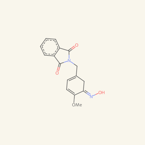 COC1=CC=C(CN2C(=O)c3ccccc3C2=O)CC1=NO